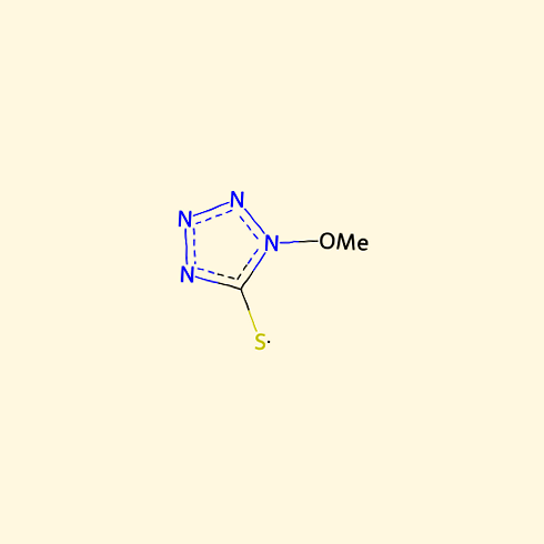 COn1nnnc1[S]